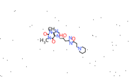 Cn1c(=O)c2c(ncn2CC(O)Cc2noc(CCN3CCCCC3)n2)n(C)c1=O